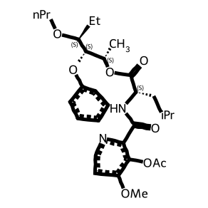 CCCO[C@@H](CC)[C@@H](Oc1ccccc1)[C@H](C)OC(=O)[C@H](CC(C)C)NC(=O)c1nccc(OC)c1OC(C)=O